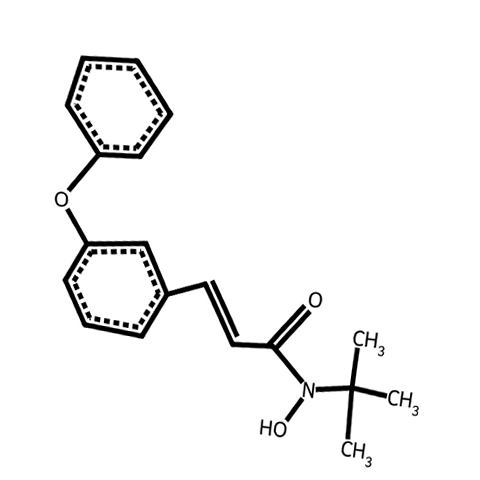 CC(C)(C)N(O)C(=O)C=Cc1cccc(Oc2ccccc2)c1